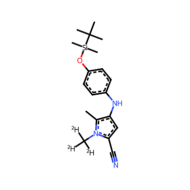 [2H]C([2H])([2H])n1c(C#N)cc(Nc2ccc(O[Si](C)(C)C(C)(C)C)cc2)c1C